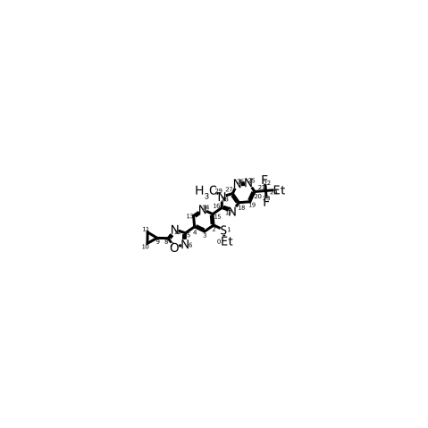 CCSc1cc(-c2noc(C3CC3)n2)cnc1-c1nc2cc(C(F)(F)CC)nnc2n1C